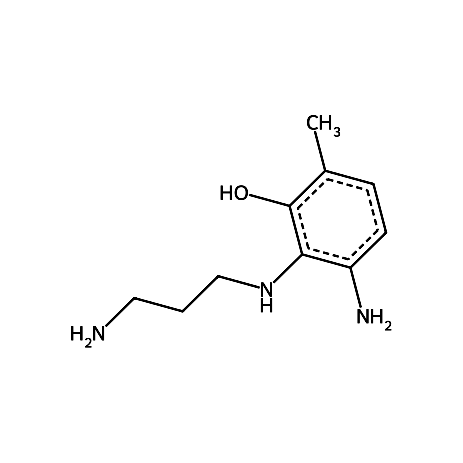 Cc1ccc(N)c(NCCCN)c1O